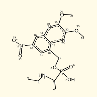 CCNC(C)P(=O)(O)OCc1cc([N+](=O)[O-])cc2nc(OC)c(OC)nc12